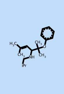 CC(C)=CC(NCC(C)C)C(C)(C)Oc1ccccc1